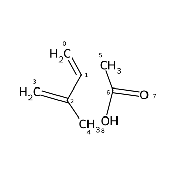 C=CC(=C)C.CC(=O)O